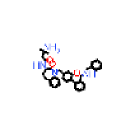 CC(C)(N)CC(=O)NC1CCc2ccccc2N(Cc2ccc(-c3ccccc3C(=O)NCc3ccccc3)cc2)C1=O